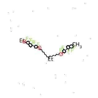 CCOc1cc2ccc(-c3ccc(OCCCCCCCC(CC)CCCCCCCOc4ccc(-c5ccc6cc(C)c(F)c(F)c6c5F)c(F)c4F)c(F)c3F)c(F)c2c(F)c1F